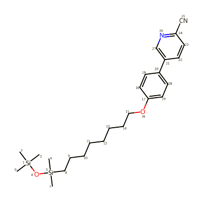 C[Si](C)(C)O[Si](C)(C)CCCCCCCCOc1ccc(-c2ccc(C#N)nc2)cc1